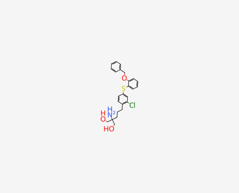 NC(CO)(CO)CCCc1ccc(Sc2ccccc2OCc2ccccc2)cc1Cl